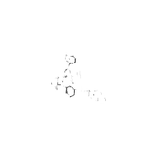 O/C(=C\C1=Nc2c(OCCN3CCOCC3)cccc2C2=NCCN12)c1cccnc1